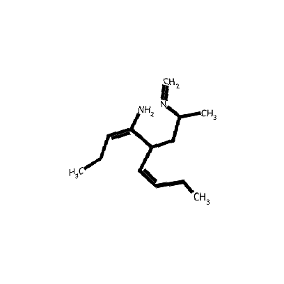 C=NC(C)CC(/C=C\CC)/C(N)=C\CC